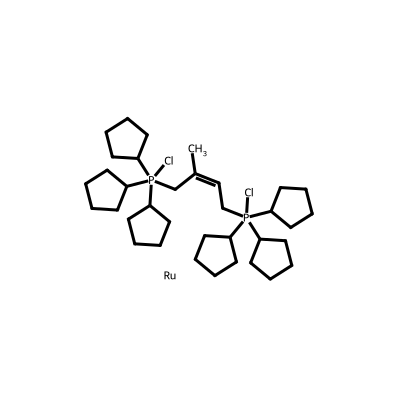 CC(=CCP(Cl)(C1CCCC1)(C1CCCC1)C1CCCC1)CP(Cl)(C1CCCC1)(C1CCCC1)C1CCCC1.[Ru]